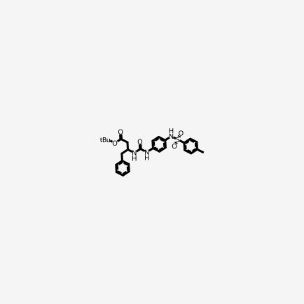 Cc1ccc(S(=O)(=O)Nc2ccc(NC(=O)NC(CC(=O)OC(C)(C)C)Cc3ccccc3)cc2)cc1